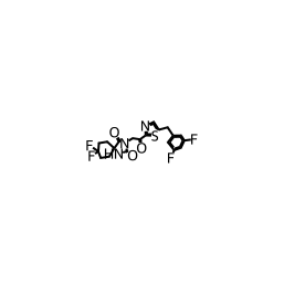 O=C(CN1C(=O)NC2(CCC(F)(F)CC2)C1=O)c1ncc(Cc2cc(F)cc(F)c2)s1